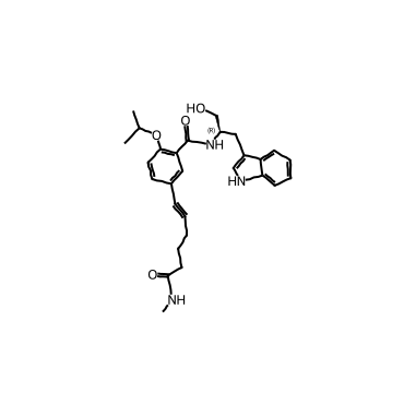 CNC(=O)CCCC#Cc1ccc(OC(C)C)c(C(=O)N[C@@H](CO)Cc2c[nH]c3ccccc23)c1